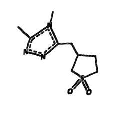 Cc1nnc(CC2CCS(=O)(=O)C2)n1C